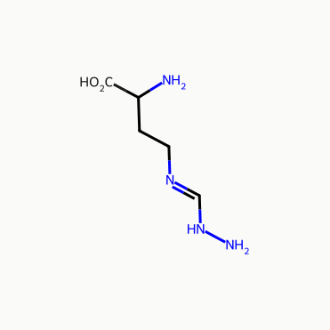 NNC=NCCC(N)C(=O)O